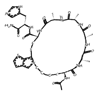 CC(=O)N[C@H]1CCCCn2cc3ccsc3c2SC[C@@H](C(=O)N[C@@H](Cc2cnc[nH]2)C(N)=O)NC(=O)[C@H](C)NC(=O)[C@H](C)NC(=O)[C@H](C)NC(=O)[C@H](C)NC1=O